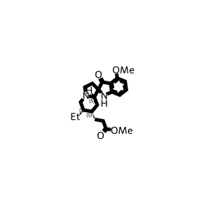 CC[C@@H]1CN2CCC3(Nc4cccc(OC)c4C3=O)[C@@H]2C[C@@H]1CCC(=O)OC